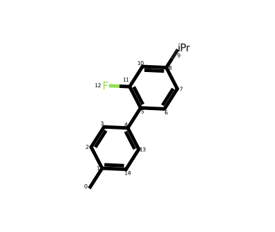 Cc1ccc(-c2ccc(C(C)C)cc2F)cc1